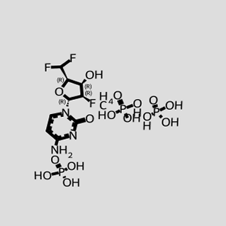 C.Nc1ccn([C@@H]2O[C@@H](C(F)F)[C@@H](O)[C@H]2F)c(=O)n1.O=P(O)(O)O.O=P(O)(O)O.O=P(O)(O)O